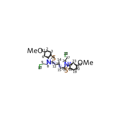 COc1ccc2c(c1)N(CCF)/C(=C/C(C)=C/c1sc3ccc(OC)cc3[n+]1CCF)S2